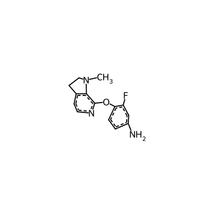 CN1CCc2ccnc(Oc3ccc(N)cc3F)c21